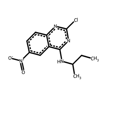 CCC(C)Nc1nc(Cl)nc2ccc([N+](=O)[O-])cc12